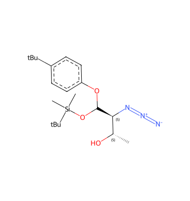 C[C@H](O)[C@H](N=[N+]=[N-])C(Oc1ccc(C(C)(C)C)cc1)O[Si](C)(C)C(C)(C)C